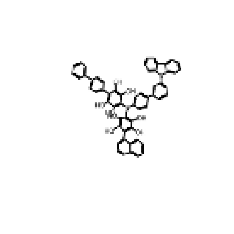 Oc1c(O)c(N(c2ccc(-c3cccc(-n4c5ccccc5c5ccccc54)c3)cc2)c2c(O)c(O)c(-c3cccc4ccccc34)c(O)c2O)c(O)c(O)c1-c1ccc(-c2ccccc2)cc1